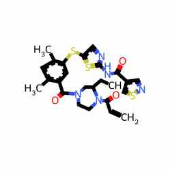 C=CC(=O)N1CCN(C(=O)c2cc(Sc3cnc(NC(=O)c4cnsc4)s3)c(C)cc2C)CC1CC